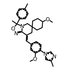 COc1cc(/C=C2\CC3(CCC(OC)CC3)CN3C2=NOC3(C)c2ccc(C)cc2)ccc1-n1cnc(C)c1